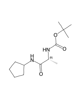 C[C@@H](NC(=O)OC(C)(C)C)C(=O)NC1CCCC1